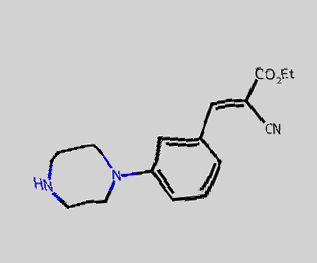 CCOC(=O)/C(C#N)=C/c1cccc(N2CCNCC2)c1